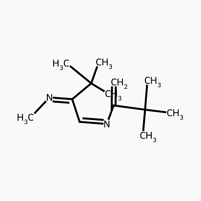 C=C(/N=C\C(=N/C)C(C)(C)C)C(C)(C)C